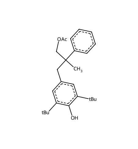 CC(=O)OCC(C)(Cc1cc(C(C)(C)C)c(O)c(C(C)(C)C)c1)c1ccccc1